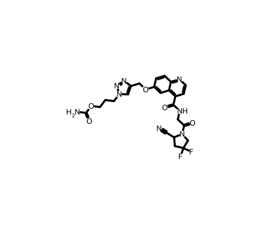 N#CC1CC(F)(F)CN1C(=O)CNC(=O)c1ccnc2ccc(OCc3cn(CCCOC(N)=O)nn3)cc12